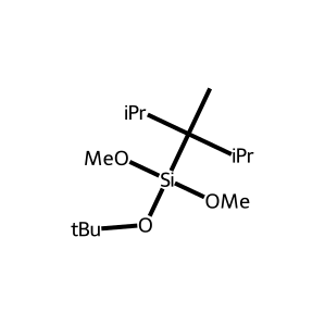 CO[Si](OC)(OC(C)(C)C)C(C)(C(C)C)C(C)C